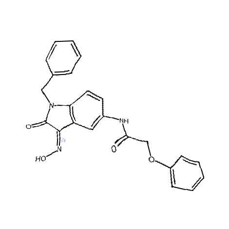 O=C(COc1ccccc1)Nc1ccc2c(c1)/C(=N/O)C(=O)N2Cc1ccccc1